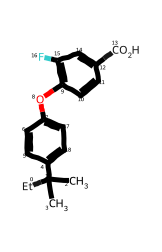 CCC(C)(C)c1ccc(Oc2ccc(C(=O)O)cc2F)cc1